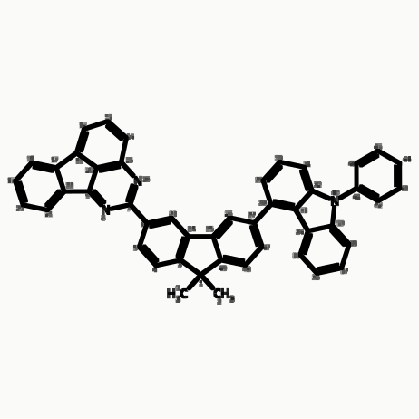 CC1(C)c2ccc(-c3nc4c5c(cccc5n3)-c3ccccc3-4)cc2-c2cc(-c3cccc4c3c3ccccc3n4-c3ccccc3)ccc21